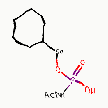 CC(=O)NP(=O)(O)O[Se]C1CCCCC1